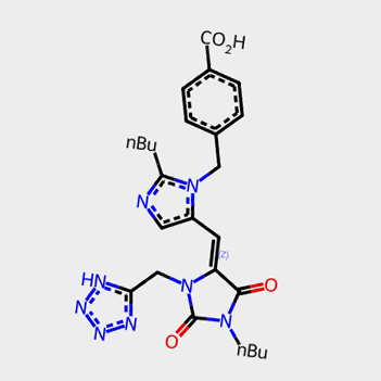 CCCCc1ncc(/C=C2/C(=O)N(CCCC)C(=O)N2Cc2nnn[nH]2)n1Cc1ccc(C(=O)O)cc1